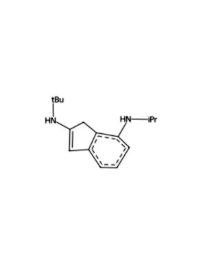 CC(C)Nc1cccc2c1CC(NC(C)(C)C)=C2